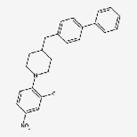 O=[N+]([O-])c1ccc(N2CCC(Cc3ccc(-c4ccccc4)cc3)CC2)c(Cl)c1